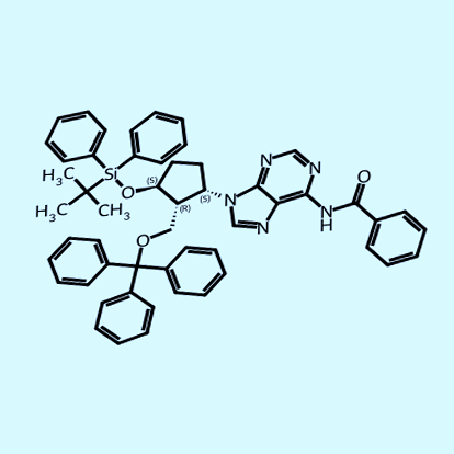 CC(C)(C)[Si](O[C@H]1CC[C@H](n2cnc3c(NC(=O)c4ccccc4)ncnc32)[C@@H]1COC(c1ccccc1)(c1ccccc1)c1ccccc1)(c1ccccc1)c1ccccc1